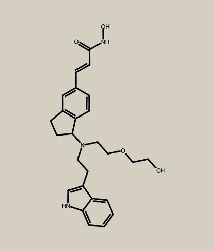 O=C(/C=C/c1ccc2c(c1)CCC2N(CCOCCO)CCc1c[nH]c2ccccc12)NO